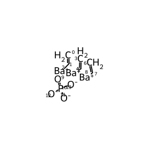 C=[CH][Ba+].C=[CH][Ba+].C=[CH][Ba+].O=P([O-])([O-])[O-]